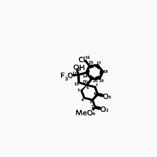 COC(=O)C1CC[C@@]2(CC1=O)CC(O)(C(F)(F)F)c1c(Cl)cccc12